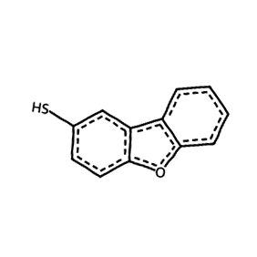 Sc1ccc2oc3ccccc3c2c1